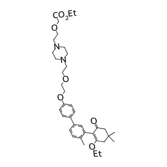 CCOC(=O)COCCN1CCN(CCOCCOc2ccc(-c3ccc(C)c(C4=C(OCC)CC(C)(C)CC4=O)c3)cc2)CC1